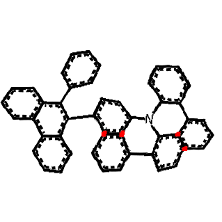 c1ccc(-c2ccccc2N(c2ccc(-c3c(-c4ccccc4)c4ccccc4c4ccccc34)cc2)c2ccccc2-c2ccccc2)cc1